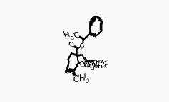 CCCCCC(CCC)CC1(C(=O)OC(C)c2ccccc2)CCCC(C)C1C(=O)O